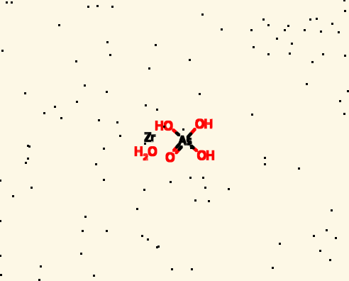 O.O=[As](O)(O)O.[Zr]